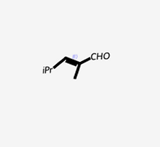 C/C(C=O)=C\C(C)C